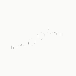 C=CC[SiH2][C@H]1CC[C@H](C2CCC(CC=C)CC2)CC1